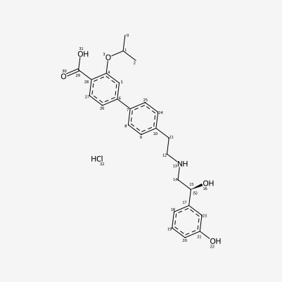 CC(C)Oc1cc(-c2ccc(CCNC[C@@H](O)c3cccc(O)c3)cc2)ccc1C(=O)O.Cl